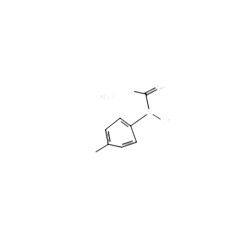 CC(=O)ON(C(=N)S)c1ccc(C)cc1.[NaH]